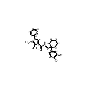 Cc1c(C(=O)NCC2(c3ccc(Cl)c(F)c3)CCCCC2)cn(-c2ncccn2)c1C